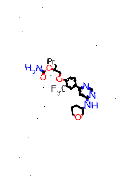 CC(C)C[C@@](C)(COc1ccc(-c2cc(NC3CCCOC3)ncn2)cc1C(F)(F)F)OC(N)=O